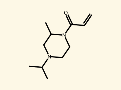 C=CC(=O)N1CCN(C(C)C)CC1C